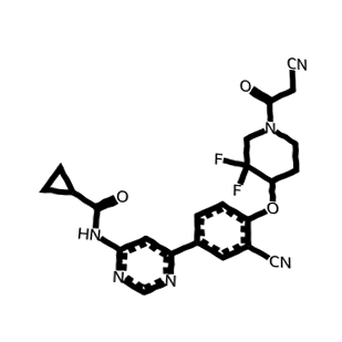 N#CCC(=O)N1CCC(Oc2ccc(-c3cc(NC(=O)C4CC4)ncn3)cc2C#N)C(F)(F)C1